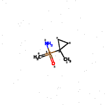 C=S(N)(=O)C1(C)CC1